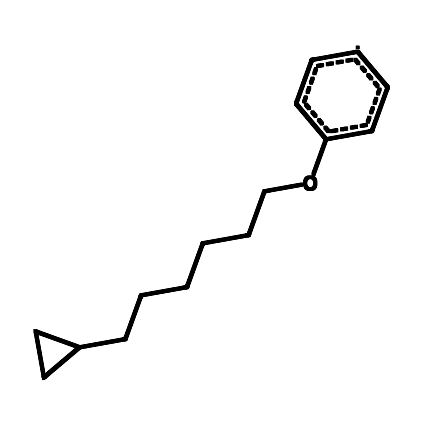 [c]1ccc(OCCCCCCC2CC2)cc1